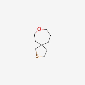 C1COCCC2(C1)CCSC2